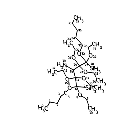 CCCCCOC([SiH3])(OCC)C(OCC)(OCC)C(N)C(OCC)(OCC)C([SiH3])(OCC)OCCCCC